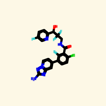 Nc1nc2cc(-c3ccc(Cl)c(C(=O)NCC(F)(F)C(O)c4ccc(F)cn4)c3F)ccn2n1